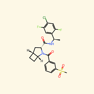 C[C@@H](NC(=O)[C@H]1C[C@H]2CC[C@H]2N1C(=O)c1cccc(S(C)(=O)=O)c1)c1cc(F)c(Cl)cc1F